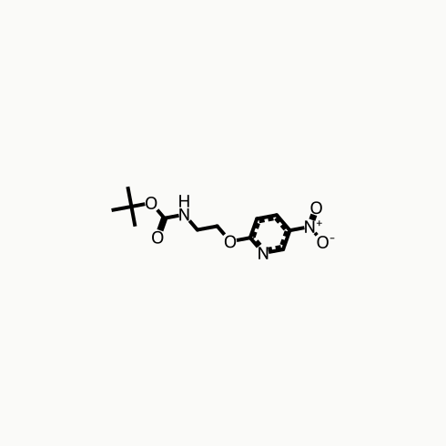 CC(C)(C)OC(=O)NCCOc1ccc([N+](=O)[O-])cn1